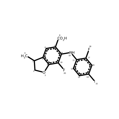 CC1COc2c1cc(C(=O)O)c(Nc1ccc(I)cc1F)c2F